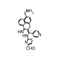 N=C(/C(Cc1ccc(SN)cc1)=C(\Nc1nc(C=O)cs1)c1ccncc1)c1ccccc1